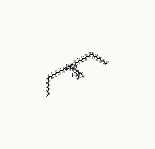 CCCCCCCC/C=C\CCCCCCCCOCC(COCCCCCCCC/C=C\CCCCCCCC)NC(=O)OCC(CC)NCC